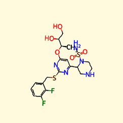 C[C@@H](Oc1cc(C2CNCCN2S(N)(=O)=O)nc(SCc2cccc(F)c2F)n1)[C@@H](O)CO